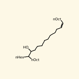 CCCCCCCC/C=C\CCCCCCCCC(O)C(CCCCCC)CCCCCCCC